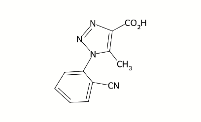 Cc1c(C(=O)O)nnn1-c1ccccc1C#N